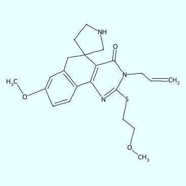 C=CCn1c(SCCOC)nc2c(c1=O)C1(CCNC1)Cc1cc(OC)ccc1-2